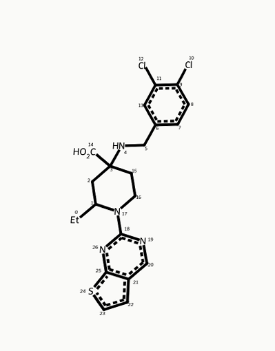 CCC1CC(NCc2ccc(Cl)c(Cl)c2)(C(=O)O)CCN1c1ncc2ccsc2n1